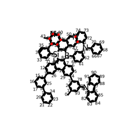 Cc1cc(-c2ccc3c4c(c5ccc(-c6cccc(-c7ccccc7)c6)cc5c3c2)[SiH](c2ccc#cc2-c2ccccc2C)c2c(c3ccncc3c3cnccc23)B4c2cccc(N(c3ccccc3)c3ccccc3)c2)cc(-n2c3ccccc3c3ccccc32)c1